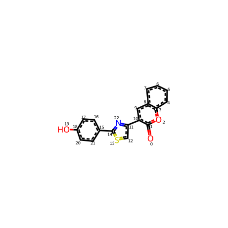 O=c1oc2ccccc2cc1-c1csc(-c2ccc(O)cc2)n1